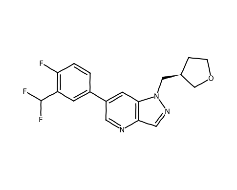 Fc1ccc(-c2cnc3cnn(C[C@H]4CCOC4)c3c2)cc1C(F)F